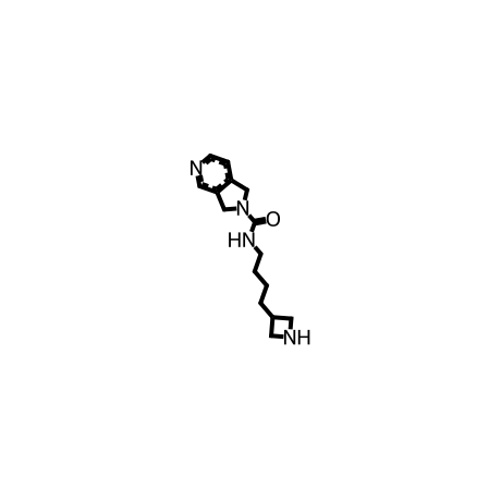 O=C(NCCCCC1CNC1)N1Cc2ccncc2C1